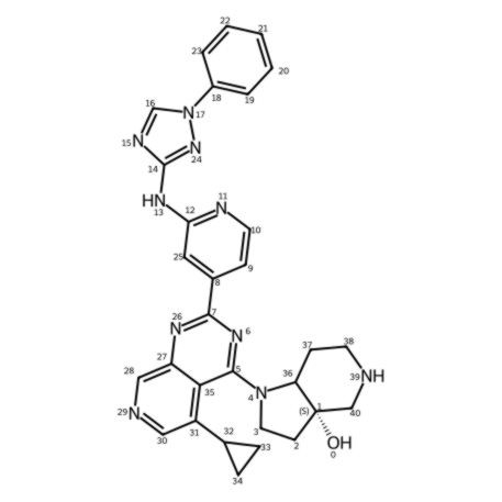 O[C@]12CCN(c3nc(-c4ccnc(Nc5ncn(-c6ccccc6)n5)c4)nc4cncc(C5CC5)c34)C1CCNC2